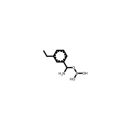 CCc1cccc(C(N)OB(O)O)c1